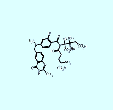 Cc1nc2ccc(CN(C)c3ccc(C(=O)N(C(=O)CC[C@H](N)C(=O)O)[C@](C(=O)O)(C(C)(C)C)C(CC(=O)O)(C(C)(C)C)C(C)(C)C)c(F)c3)cc2c(=O)[nH]1